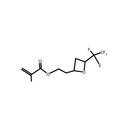 C=C(C)C(=O)OCCC1CC(C(F)(F)C(F)(F)F)O1